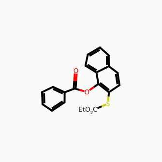 CCOC(=O)Sc1ccc2ccccc2c1OC(=O)c1ccccc1